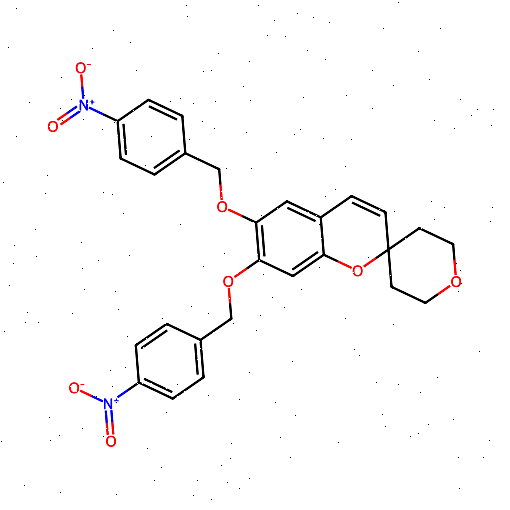 O=[N+]([O-])c1ccc(COc2cc3c(cc2OCc2ccc([N+](=O)[O-])cc2)OC2(C=C3)CCOCC2)cc1